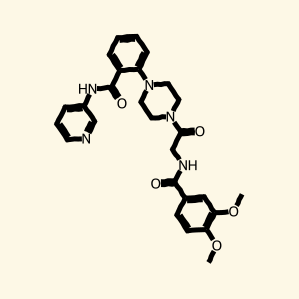 COc1ccc(C(=O)NCC(=O)N2CCN(c3ccccc3C(=O)Nc3cccnc3)CC2)cc1OC